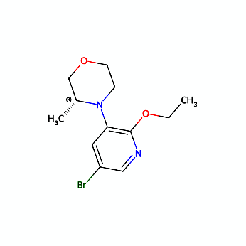 CCOc1ncc(Br)cc1N1CCOC[C@H]1C